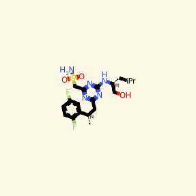 CC(C)C[C@H](CO)Nc1nc(C[C@H](C)c2cc(F)ccc2F)nc(CS(N)(=O)=O)n1